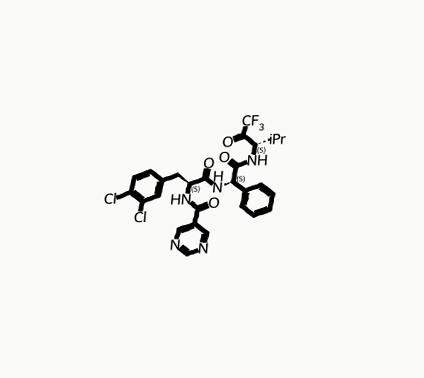 CC(C)[C@H](NC(=O)[C@@H](NC(=O)[C@H](Cc1ccc(Cl)c(Cl)c1)NC(=O)c1cncnc1)c1ccccc1)C(=O)C(F)(F)F